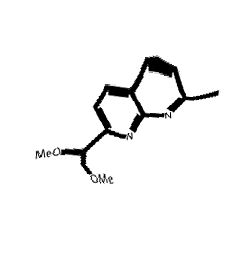 COC(OC)c1ccc2ccc(C)nc2n1